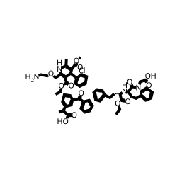 CC(C(=O)O)c1cccc(C(=O)c2ccccc2)c1.CCOC(=O)C1=C(COCCN)NC(C)=C(C(=O)OC)C1c1ccccc1Cl.CCOC(=O)[C@H](CCc1ccccc1)N[C@H]1CCc2ccccc2N(CC(=O)O)C1=O